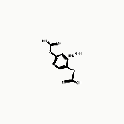 O=C(O)Oc1ccc(OC(=O)O)cc1.[NaH].[NaH]